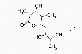 CC(C)[C@@H](O)CC1OC(=O)[C@H](C)[C@@H](O)C1C